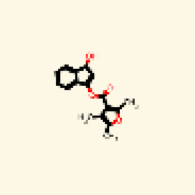 Cc1oc(C)c(C(=O)OC2=CC(O)c3ccccc32)c1C